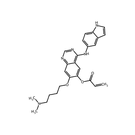 C=CC(=O)Oc1cc2c(Nc3ccc4[nH]ccc4c3)ncnc2cc1OCCCCN(C)C